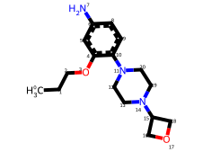 CCCOc1cc(N)ccc1N1CCN(C2COC2)CC1